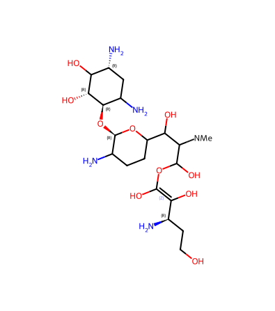 CNC(C(O)O/C(O)=C(\O)[C@H](N)CCO)C(O)C1CCC(N)[C@@H](O[C@@H]2C(N)C[C@@H](N)C(O)[C@H]2O)O1